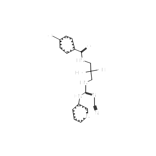 CC(C)(CNC(=O)c1ccc(Cl)cc1)CNC(=NC#N)Nc1cccnc1